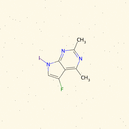 Cc1nc(C)c2c(F)cn(I)c2n1